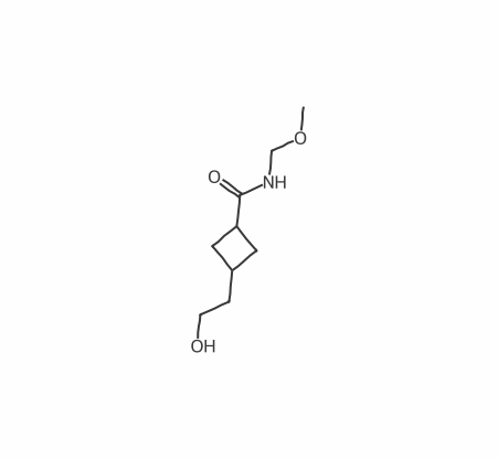 COCNC(=O)C1CC(CCO)C1